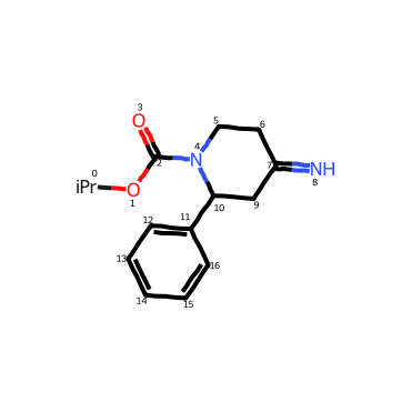 CC(C)OC(=O)N1CCC(=N)CC1c1ccccc1